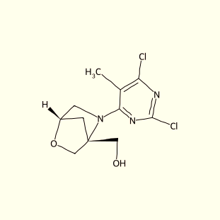 Cc1c(Cl)nc(Cl)nc1N1C[C@@H]2C[C@@]1(CO)CO2